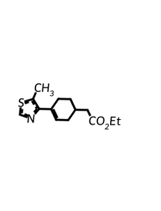 CCOC(=O)CC1CC=C(c2ncsc2C)CC1